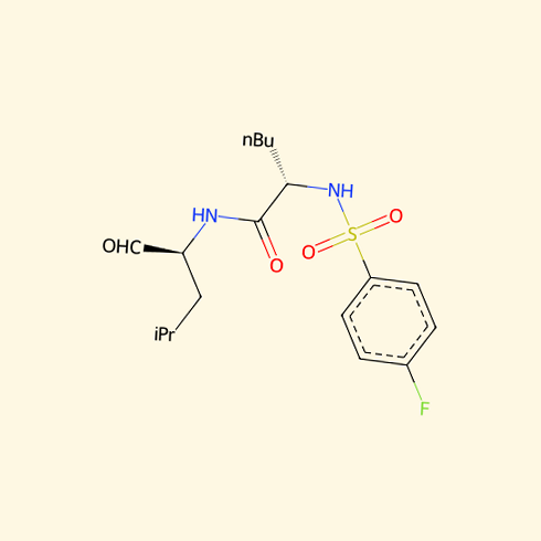 CCCC[C@H](NS(=O)(=O)c1ccc(F)cc1)C(=O)N[C@H](C=O)CC(C)C